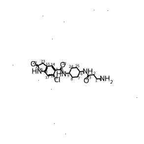 NCCC(=O)NC1CCC(NC(=O)c2cc3c(cc2Cl)NC(=O)C3)CC1